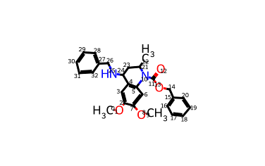 COc1cc2c(cc1OC)N(C(=O)OCc1ccccc1)C(C)CC2NCc1ccccc1